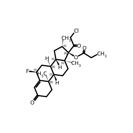 CCC(=O)O[C@]1(C(=O)CCl)[C@@H](C)C[C@H]2[C@@H]3C[C@H](F)C4=CC(=O)CC[C@]4(C)[C@H]3CC[C@@]21C